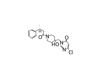 C[C@H](CC(=O)N1CCC(O)(Cn2cnc(Cl)cc2=O)CC1)c1ccccc1